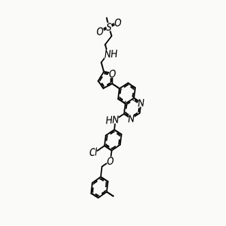 Cc1cccc(COc2ccc(Nc3ncnc4ccc(-c5ccc(CNCCS(C)(=O)=O)o5)cc34)cc2Cl)c1